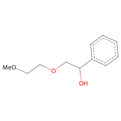 COCCOCC(O)c1ccccc1